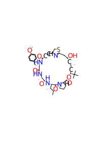 CC[C@H](C)[C@@H]1NC(=O)[C@H](C)NC(=O)[C@H](Cc2ccc(OC)cc2)NC(=O)CC[C@H]2CSC(=N2)C[C@@H](O)C[C@H](C)C[C@@H](C(C)(C)C)OC(=O)[C@@H]2CCCN2C1=O